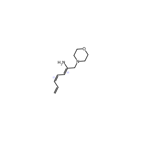 C=C/C=C\C=C(/N)CN1CCOCC1